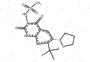 CS(=O)(=O)Nn1c(=O)[nH]c2cc(C(F)(F)F)c([C@@H]3CCCO3)cc2c1=O